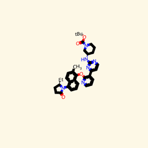 CC[C@H]1CCC(=O)N1c1cccc2c(Oc3ncccc3-c3ccnc(N[C@H]4CCCN(C(=O)OC(C)(C)C)C4)n3)c(C)ccc12